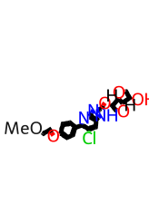 COCCOc1ccc(-c2nc3nc(O[C@@H]4CO[C@H]5[C@@H]4OC[C@H]5O)[nH]c3cc2Cl)cc1